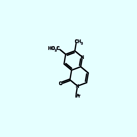 Cc1nc2ccn(C(C)C)c(=O)c2cc1C(=O)O